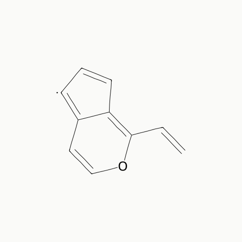 C=Cc1occc2[c]ccc1-2